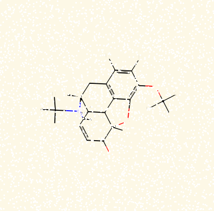 [2H]c1c([2H])c(OC([2H])([2H])[2H])c2c3c1C[C@@H]1[C@@H]4C=CC(O)C([2H])(O2)[C@]34CCN1C([2H])([2H])[2H]